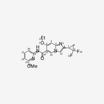 CCOc1cc2nc([C@H]3CC3(F)F)cn2cc1C(=O)Nc1cccc(OC)n1